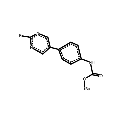 CC(C)(C)OC(=O)Nc1ccc(-c2cnc(F)nc2)cc1